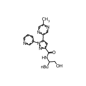 CCCCC(CO)NC(=O)c1cc(-c2cnc(C)cn2)n(-c2cccnc2)n1